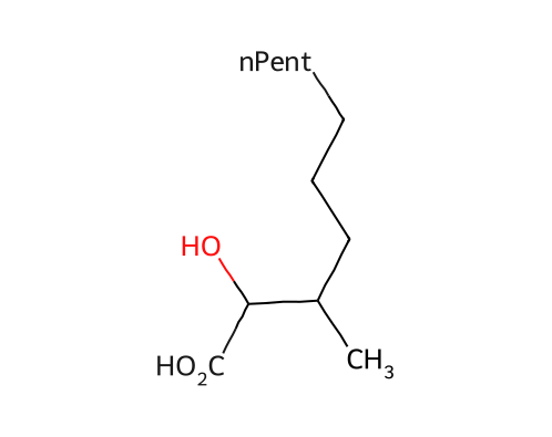 CCCCCCCCC(C)C(O)C(=O)O